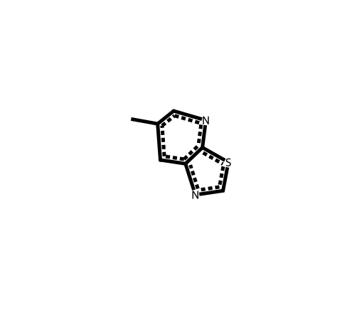 Cc1cnc2scnc2c1